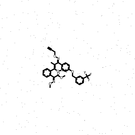 C#CCO/N=C(\C(C)=C(/ON)c1ccccc1/C(=N\OC)C(=O)OC)c1ccc(OCc2cccc(C(F)(F)F)c2)cc1